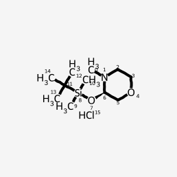 CN1CCOC[C@H]1O[Si](C)(C)C(C)(C)C.Cl